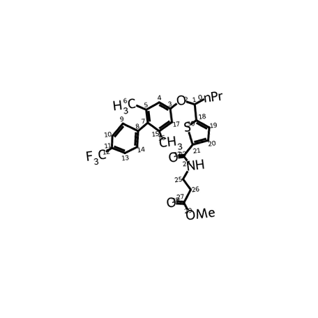 CCCC(Oc1cc(C)c(-c2ccc(C(F)(F)F)cc2)c(C)c1)c1ccc(C(=O)NCCC(=O)OC)s1